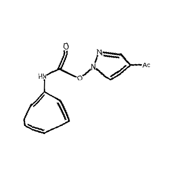 CC(=O)c1cnn(OC(=O)Nc2ccccc2)c1